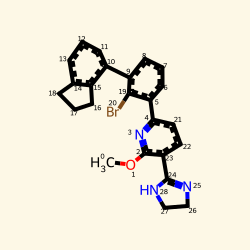 COc1nc(-c2cccc(-c3cccc4c3CCC4)c2Br)ccc1C1=NCCN1